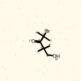 CC(C)(Br)C(=O)C(C)(C)CO